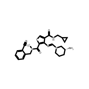 CN(Cc1ccccc1C#N)C(=O)c1scc(C(=O)NCC2CC2)c1/N=C/N1CCC[C@@H](N)C1